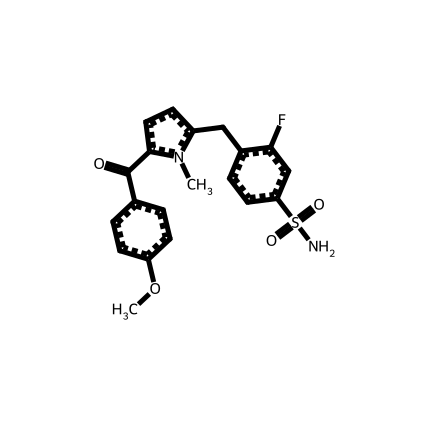 COc1ccc(C(=O)c2ccc(Cc3ccc(S(N)(=O)=O)cc3F)n2C)cc1